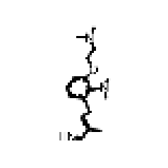 C/C(C=N)=C\Cc1cccc(OCCN(C)C)c1N(C)C